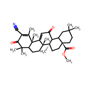 COC(=O)[C@]12CCC(C)(C)CC1C1C(=O)C=C3[C@@]4(C)C(C)=C(C#N)C(=O)C(C)(C)C4CC[C@@]3(C)[C@]1(C)CC2